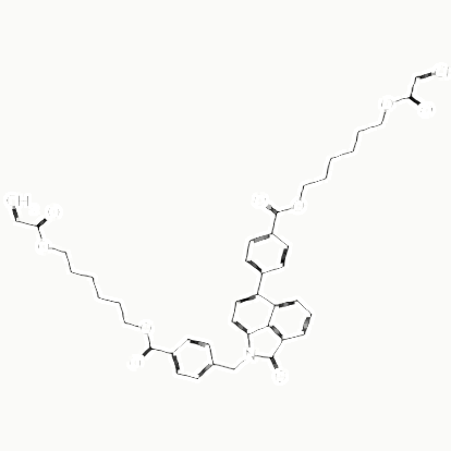 C=CC(=O)OCCCCCCOC(=O)c1ccc(CN2C(=O)c3cccc4c(-c5ccc(C(=O)OCCCCCCOC(=O)C=C)cc5)ccc2c34)cc1